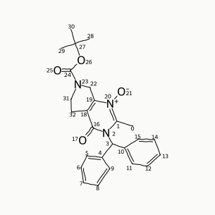 Cc1n(C(c2ccccc2)c2ccccc2)c(=O)c2c([n+]1[O-])CN(C(=O)OC(C)(C)C)CC2